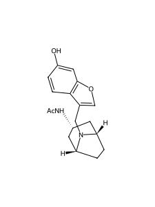 CC(=O)N[C@H]1C[C@H]2CC[C@@H](C1)N2Cc1coc2cc(O)ccc12